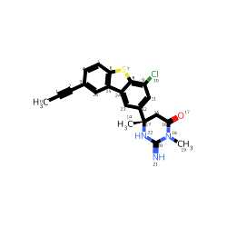 CC#Cc1ccc2sc3c(Cl)cc([C@]4(C)CC(=O)N(C)C(=N)N4)cc3c2c1